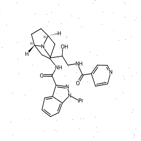 CC(C)n1nc(C(=O)NC2C[C@@H]3CC[C@@H](C2)N3CC(O)CNC(=O)c2ccncc2)c2ccccc21